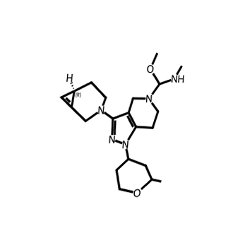 CNC(OC)N1CCc2c(c(N3CC[C@@H]4C=C4C3)nn2C2CCOC(C)C2)C1